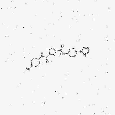 CC(=O)N1CCC(NC(=O)c2ccc(C(=O)Nc3ccc(-n4cncn4)cc3)s2)CC1